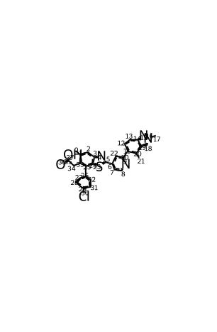 Cc1cc2nc(-c3ccnc(-c4ccc5nn(C)cc5c4C)c3)sc2c(-c2ccc(Cl)cc2)c1CC(=O)O